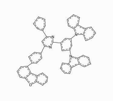 c1ccc(-c2cc(-c3ccc(-c4cccc5oc6ccccc6c45)cc3)nc(-c3cc(-n4c5ccccc5c5ccccc54)cc(-n4c5ccccc5c5ccccc54)c3)n2)cc1